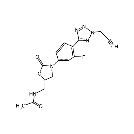 C#CCn1nnc(-c2ccc(N3C[C@H](CNC(C)=O)OC3=O)cc2F)n1